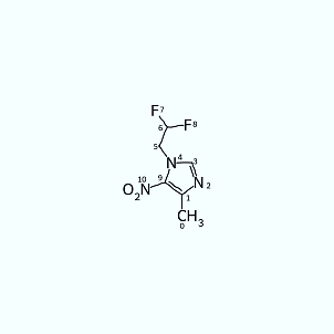 Cc1ncn(CC(F)F)c1[N+](=O)[O-]